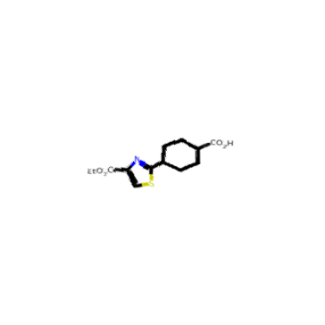 CCOC(=O)c1csc(C2CCC(C(=O)O)CC2)n1